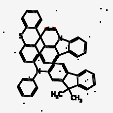 CC1(C)c2ccccc2-c2ccc(N(c3ccccc3)c3ccc4c(c3)C3(c5ccccc5S4)c4ccccc4-n4c5ccccc5c5cccc3c54)cc21